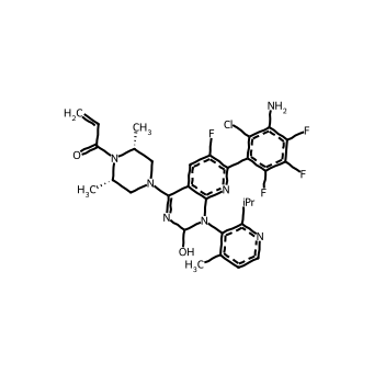 C=CC(=O)N1[C@H](C)CN(C2=NC(O)N(c3c(C)ccnc3C(C)C)c3nc(-c4c(F)c(F)c(F)c(N)c4Cl)c(F)cc32)C[C@@H]1C